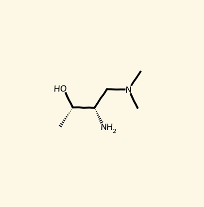 C[C@H](O)[C@@H](N)CN(C)C